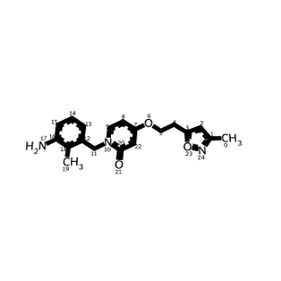 Cc1cc(CCOc2ccn(Cc3cccc(N)c3C)c(=O)c2)on1